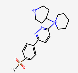 CS(=O)(=O)c1ccc(-c2ccc([N+]3(C4CCNCC4)CCCCC3)nn2)cc1